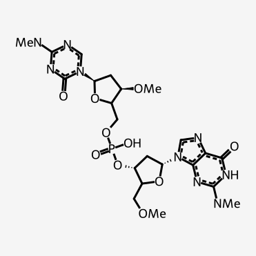 CNc1ncn([C@H]2C[C@@H](OC)C(COP(=O)(O)O[C@@H]3C[C@H](n4cnc5c(=O)[nH]c(NC)nc54)OC3COC)O2)c(=O)n1